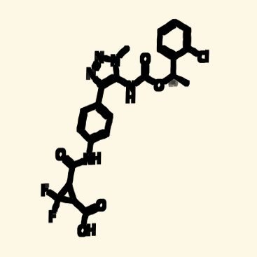 C[C@@H](OC(=O)Nc1c(-c2ccc(NC(=O)C3C(C(=O)O)C3(F)F)cc2)nnn1C)c1ccccc1Cl